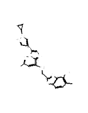 Fc1ccc2[nH]c(CNc3cc(Cl)nn4c(-c5cnn(C6CC6)c5)cnc34)nc2c1F